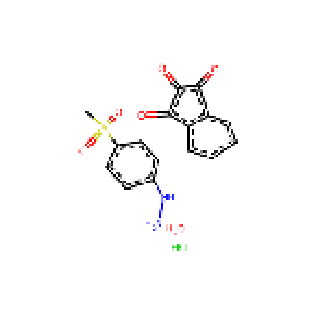 CS(=O)(=O)c1ccc(NN)cc1.Cl.O.O=c1c(=O)c2ccccc2c1=O